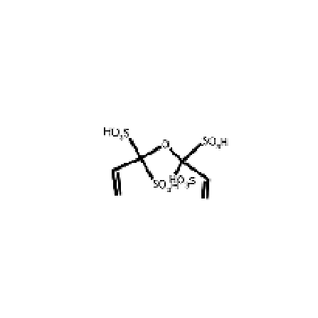 C=CC(OC(C=C)(S(=O)(=O)O)S(=O)(=O)O)(S(=O)(=O)O)S(=O)(=O)O